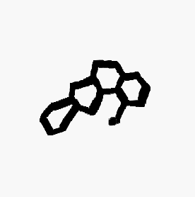 CCC(C)c1cccc2ccc3cc4ccccc4cc3c12